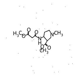 COC(=O)CC(=O)NC1CCN(C)CC1C(=O)OC